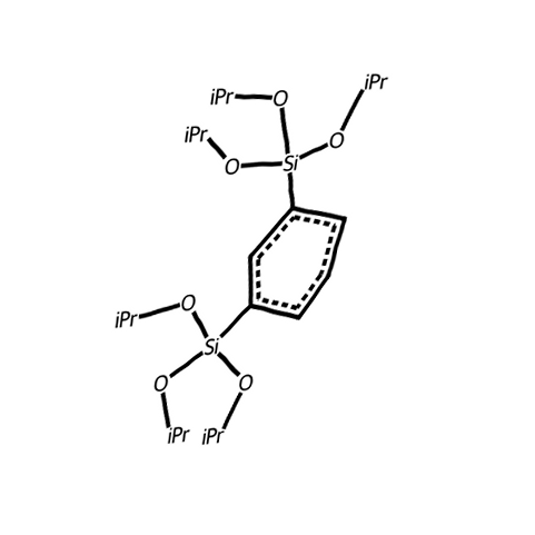 CC(C)O[Si](OC(C)C)(OC(C)C)c1cccc([Si](OC(C)C)(OC(C)C)OC(C)C)c1